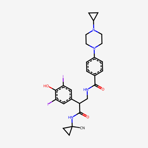 N#CC1(NC(=O)C(CNC(=O)c2ccc(N3CCN(C4CC4)CC3)cc2)c2cc(I)c(O)c(I)c2)CC1